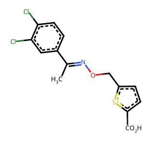 CC(=NOCc1ccc(C(=O)O)s1)c1ccc(Cl)c(Cl)c1